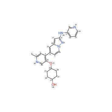 Cc1cc(-c2ccn3nc(Nc4cccnc4)cc3c2)c(OC2CCC(O)CC2)cn1